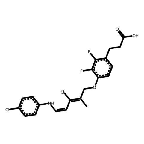 C/C(COc1ccc(CCC(=O)O)c(F)c1F)=C(Cl)\C=C/Nc1ccc(Cl)cc1